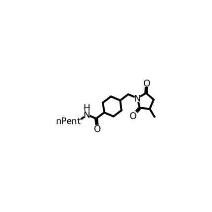 CCCCCNC(=O)C1CCC(CN2C(=O)CC(C)C2=O)CC1